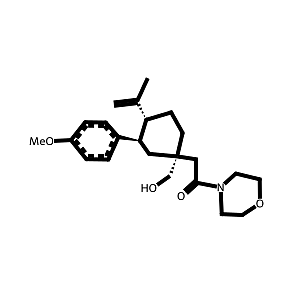 C=C(C)[C@@H]1CC[C@@](CO)(CC(=O)N2CCOCC2)C[C@H]1c1ccc(OC)cc1